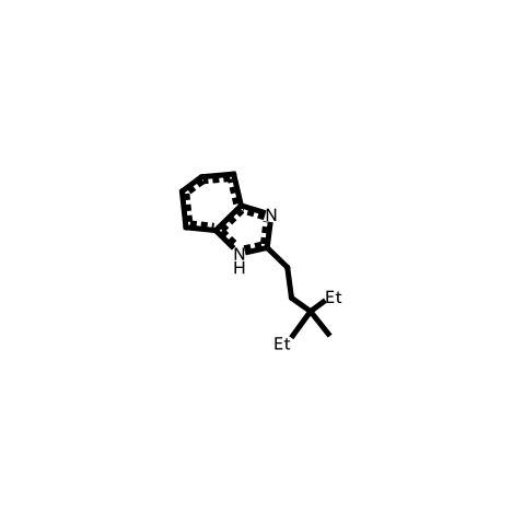 CCC(C)(CC)CCc1nc2ccccc2[nH]1